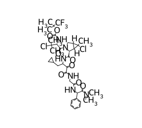 CN(C)C(=O)C(NC(=O)CNC(=O)C(=O)C(CC1CC1)NC(=O)[C@@H]1[C@@H]2[C@H](CN1C(=O)[C@@H](NC(=O)OC(C)(C)C(F)(F)F)C(C)(C)Cl)C2(C)Cl)c1ccccc1